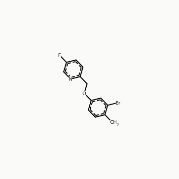 Cc1ccc(OCc2ccc(F)cn2)cc1Br